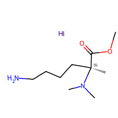 COC(=O)[C@](C)(CCCCN)N(C)C.I